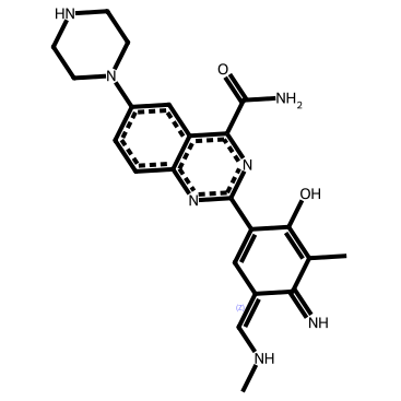 CN/C=C1/C=C(c2nc(C(N)=O)c3cc(N4CCNCC4)ccc3n2)C(O)=C(C)C1=N